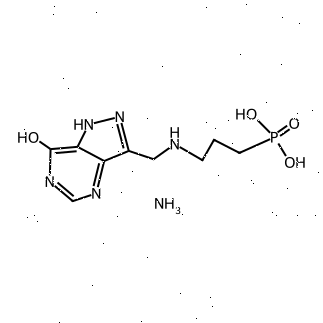 N.O=P(O)(O)CCCNCc1n[nH]c2c(O)ncnc12